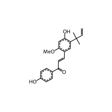 C=CC(C)(C)c1cc(C=CC(=O)c2ccc(O)cc2)c(OC)cc1O